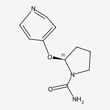 NC(=O)N1CCC[C@@H]1Oc1ccncc1